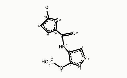 O=C(O)Oc1nscc1NC(=O)c1ccc(Cl)s1